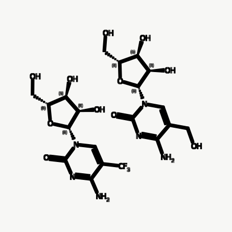 Nc1nc(=O)n([C@@H]2O[C@H](CO)[C@@H](O)[C@H]2O)cc1C(F)(F)F.Nc1nc(=O)n([C@@H]2O[C@H](CO)[C@@H](O)[C@H]2O)cc1CO